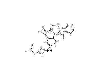 C[C@H](F)CN1CC(Nc2ccc([C@@H]3c4[nH]c5ccccc5c4CCN3C3=CCC3)cc2)C1